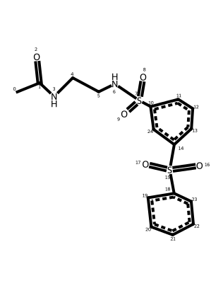 CC(=O)NCCNS(=O)(=O)c1cccc(S(=O)(=O)c2ccccc2)c1